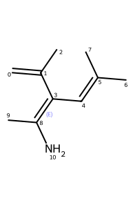 C=C(C)/C(C=C(C)C)=C(\C)N